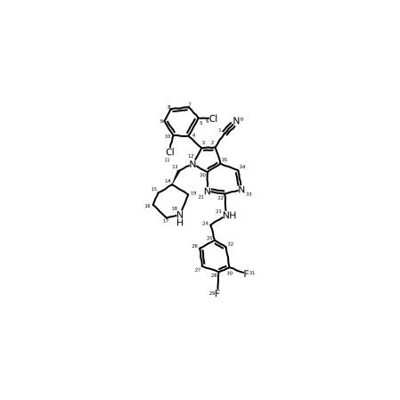 N#Cc1c(-c2c(Cl)cccc2Cl)n(C[C@@H]2CCCNC2)c2nc(NCc3ccc(F)c(F)c3)ncc12